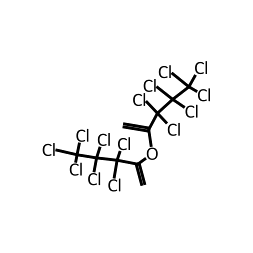 C=C(OC(=C)C(Cl)(Cl)C(Cl)(Cl)C(Cl)(Cl)Cl)C(Cl)(Cl)C(Cl)(Cl)C(Cl)(Cl)Cl